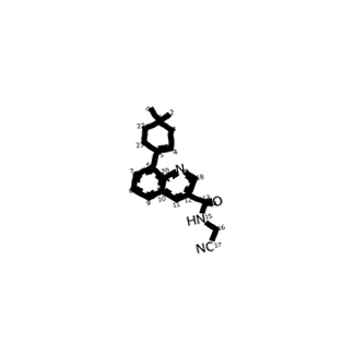 CC1(C)CC=C(c2cccc3cc(C(=O)NCC#N)cnc23)CC1